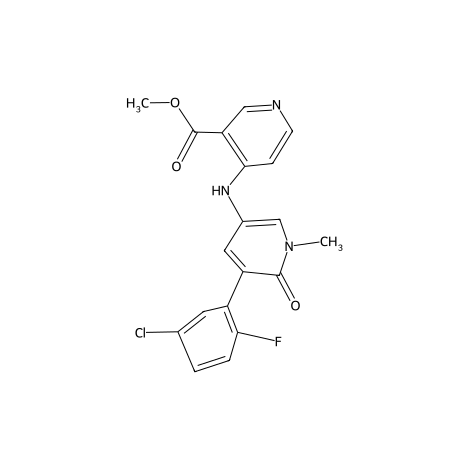 COC(=O)c1cnccc1Nc1cc(-c2cc(Cl)ccc2F)c(=O)n(C)c1